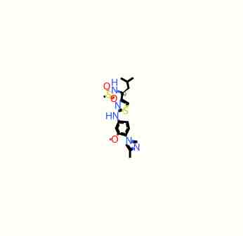 COc1cc(Nc2nc([C@H](CC(C)C)NS(C)(=O)=O)cs2)ccc1-n1cnc(C)c1